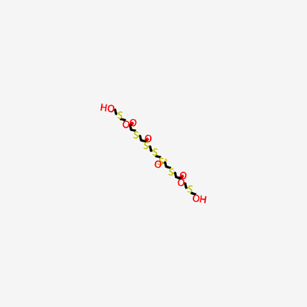 O=C(CCSCCC[S+]([O-])CCSCCSC(=O)CCSCCC(=O)OCCSCCO)OCCSCCO